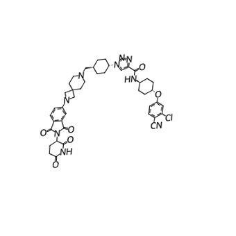 N#Cc1ccc(O[C@H]2CC[C@H](NC(=O)c3cn([C@H]4CC[C@H](CN5CCC6(CC5)CN(c5ccc7c(c5)C(=O)N(C5CCC(=O)NC5=O)C7=O)C6)CC4)nn3)CC2)cc1Cl